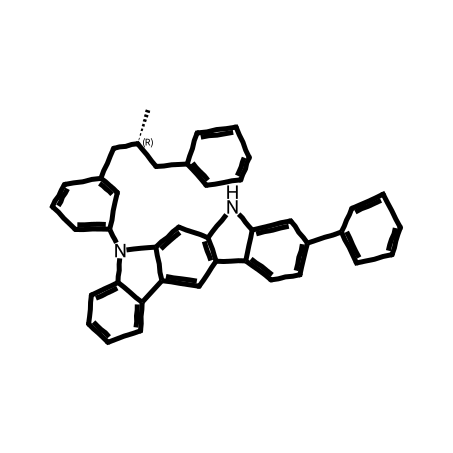 C[C@H](Cc1ccccc1)Cc1cccc(-n2c3ccccc3c3cc4c(cc32)[nH]c2cc(-c3ccccc3)ccc24)c1